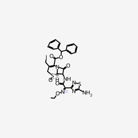 CCO/N=C(\C(=O)NC1C(=O)N2C(C(=O)OC(c3ccccc3)c3ccccc3)=C(CI)C[S+]([O-])[C@H]12)c1nsc(N)n1